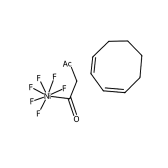 C1=CCCCCC=C1.CC(=O)C[C](=O)[Ni]([F])([F])([F])([F])([F])[F]